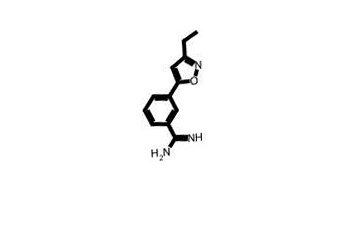 CCc1cc(-c2cccc(C(=N)N)c2)on1